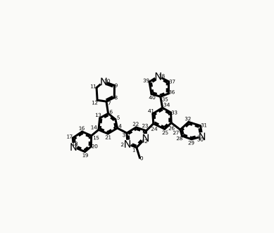 Cc1nc(-c2cc(C3=CC=NCC3)cc(-c3ccncc3)c2)cc(-c2cc(-c3ccncc3)cc(-c3ccncc3)c2)n1